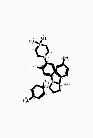 CC[C@]1(c2ccc(N)cc2)CC[C@H](C2(C)C=CC(N)=CC2)N1c1ccc(N2CC[Si](C)(C)CC2)c(F)c1